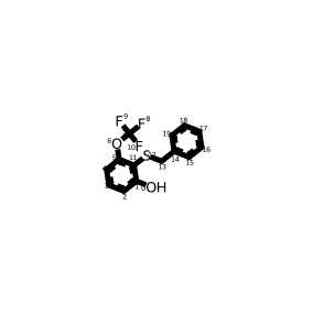 Oc1cccc(OC(F)(F)F)c1SCc1ccccc1